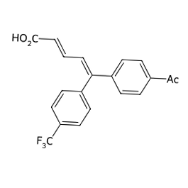 CC(=O)c1ccc(C(=CC=CC(=O)O)c2ccc(C(F)(F)F)cc2)cc1